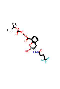 CC(C)OC(=O)OCOC(=O)c1cccc2c1OB(O)[C@@H](NC(=O)CCC(F)(F)F)C2